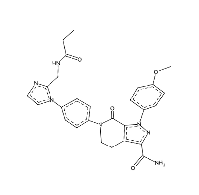 CCC(=O)NCc1nccn1-c1ccc(N2CCc3c(C(N)=O)nn(-c4ccc(OC)cc4)c3C2=O)cc1